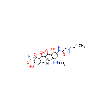 CCCCNCC(=O)Nc1cc(NC)c2c(c1O)C(=O)C1=C(O)C3C(=O)C(C(N)=O)=C(O)CC3C[C@@H]1C2